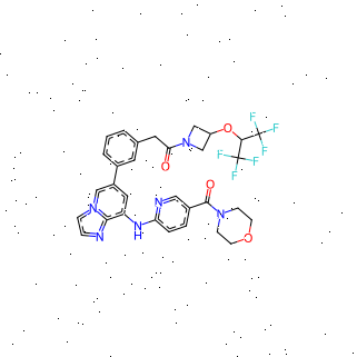 O=C(Cc1cccc(-c2cc(Nc3ccc(C(=O)N4CCOCC4)cn3)c3nccn3c2)c1)N1CC(OC(C(F)(F)F)C(F)(F)F)C1